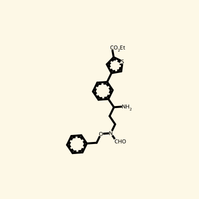 CCOC(=O)c1cc(-c2cccc(C(N)CCN(C=O)OCc3ccccc3)c2)cs1